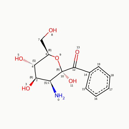 N[C@H]1[C@@H](O)[C@H](O)[C@@H](CO)O[C@@]1(O)C(=O)c1ccccc1